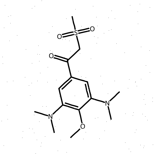 COc1c(N(C)C)cc(C(=O)CS(C)(=O)=O)cc1N(C)C